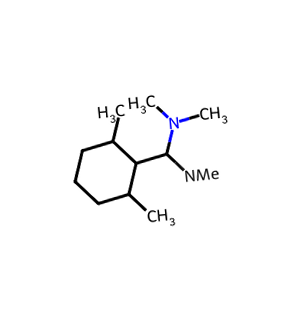 CNC(C1C(C)CCCC1C)N(C)C